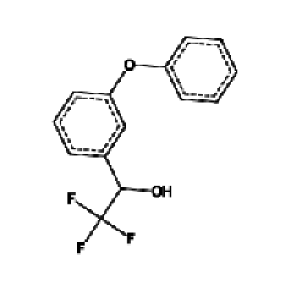 OC(c1cccc(Oc2ccccc2)c1)C(F)(F)F